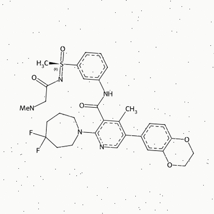 CNCC(=O)N=[S@](C)(=O)c1cccc(NC(=O)c2c(N3CCCC(F)(F)CC3)ncc(-c3ccc4c(c3)OCCO4)c2C)c1